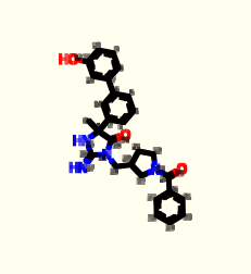 CC1(c2cccc(-c3cccc(O)c3)c2)NC(=N)N(CC2CCN(C(=O)c3ccccc3)C2)C1=O